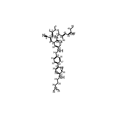 CC/C(C)=C/C(C#N)=C\C(C=C(C)NCc1ccc(-c2cnc(NCCCN(C)C)cn2)cc1)C(=O)NC(C)/C(C)=C/C=C(/F)CC